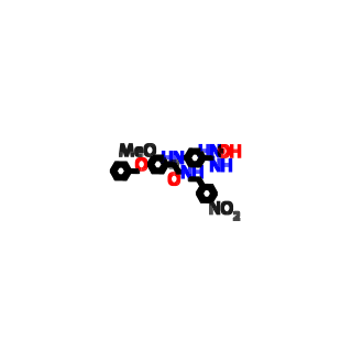 COc1cc([C@H](Nc2ccc(C(=N)NO)cc2)C(=O)NCCc2ccc([N+](=O)[O-])cc2)ccc1OCc1ccccc1